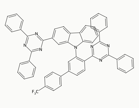 FC(F)(F)c1ccc(-c2ccc(-c3nc(-c4ccccc4)nc(-c4ccccc4)n3)c(-n3c4ccccc4c4ccc(-c5nc(-c6ccccc6)nc(-c6ccccc6)n5)cc43)c2)cc1